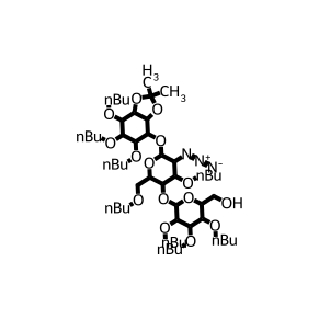 CCCCOCC1OC(OC2C(OCCCC)C(OCCCC)C(OCCCC)C3OC(C)(C)OC23)C(N=[N+]=[N-])C(OCCCC)C1OC1OC(CO)C(OCCCC)C(OCCCC)C1OCCCC